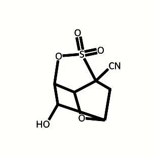 N#CC12CC3OC1C(OS2(=O)=O)C3O